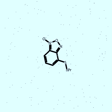 CCCSc1cccc2c1no[n+]2[O-]